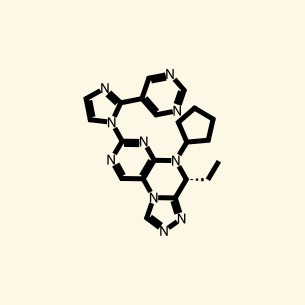 CC[C@@H]1c2nncn2-c2cnc(-n3ccnc3-c3cncnc3)nc2N1C1CCCC1